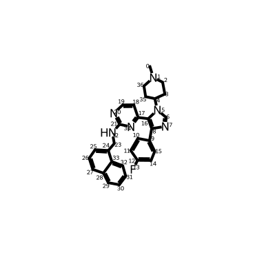 CN1CCC(n2cnc(-c3ccc(F)cc3)c2-c2ccnc(NCc3cccc4ccccc34)n2)CC1